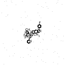 Cn1cc(S(=O)(=O)N(CCc2ccccn2)C[C@H]2CCC3=Cc4c(cnn4-c4ccc(F)cc4)C[C@@]32C)c(C(F)(F)F)n1